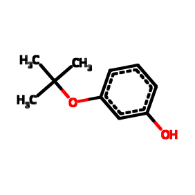 CC(C)(C)Oc1cccc(O)c1